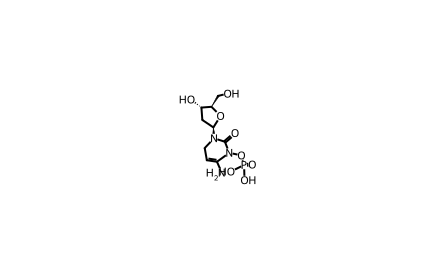 NC1=CCN([C@H]2C[C@H](O)[C@@H](CO)O2)C(=O)N1OP(=O)(O)O